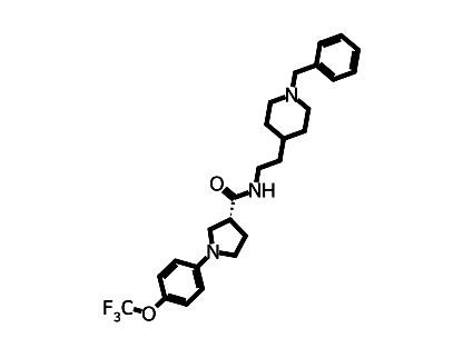 O=C(NCCC1CCN(Cc2ccccc2)CC1)[C@@H]1CCN(c2ccc(OC(F)(F)F)cc2)C1